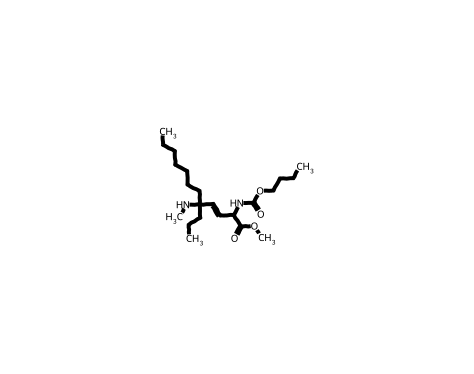 CCCCCCCC(/C=C/C(NC(=O)OCCCC)C(=O)OC)(CCC)NC